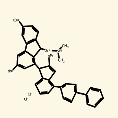 CCCC1=Cc2c(-c3ccc(-c4ccccc4)cc3)cccc2C1c1cc(C(C)(C)C)cc2c1[CH]([Zr+2][SiH](C)C)c1ccc(C(C)(C)C)cc1-2.[Cl-].[Cl-]